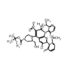 COc1cccc(F)c1-c1nc2c(cc1Cl)c(N1CCN(C(=O)OC(C)(C)C)C[C@@H]1CO)c([N+](=O)[O-])c(=O)n2-c1c(C)ccnc1C(C)C